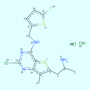 Cc1c(CC(C)N)sc2c(NCc3ccc(F)s3)nc(Cl)nc12.Cl.Cl